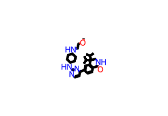 COCCN[C@H]1CC[C@H](Nc2nccc(-c3ccc4c(c3)C(C(C)C)(C(C)C)CNC4=O)n2)CC1